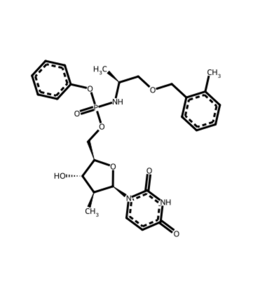 Cc1ccccc1COC[C@H](C)NP(=O)(OC[C@H]1O[C@@H](n2ccc(=O)[nH]c2=O)[C@@H](C)[C@@H]1O)Oc1ccccc1